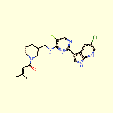 CC(C)=CC(=O)N1CCCC(CNc2nc(-c3c[nH]c4ncc(Cl)cc34)ncc2F)C1